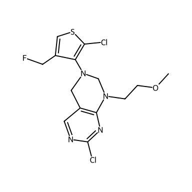 COCCN1CN(c2c(CF)csc2Cl)Cc2cnc(Cl)nc21